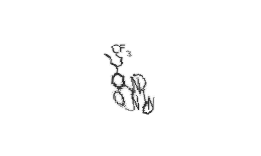 C=C/C=C(\C=C/CC(F)(F)F)c1ccc2c(c1)C(N1CCCC1c1ccccn1)=NCCO2